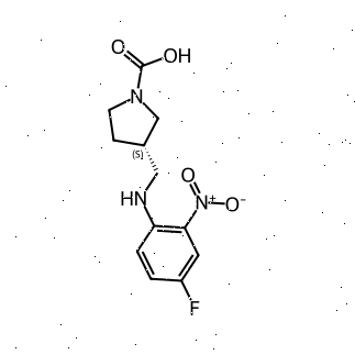 O=C(O)N1CC[C@@H](CNc2ccc(F)cc2[N+](=O)[O-])C1